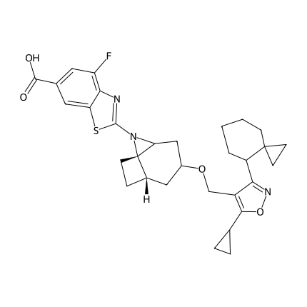 O=C(O)c1cc(F)c2nc(N3C4CC(OCc5c(C6CCCCC67CC7)noc5C5CC5)C[C@@H]5CC[C@@]453)sc2c1